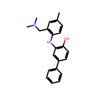 Cc1ccc(Pc2cc(-c3ccccc3)ccc2O)c(CN(C)C)c1